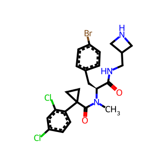 CN(C(=O)C1(c2ccc(Cl)cc2Cl)CC1)[C@@H](Cc1ccc(Br)cc1)C(=O)NCC1CNC1